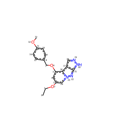 CCOc1cc(OCc2ccc(OC)cc2)c2c3cn[nH]c3nn2c1